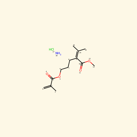 C=C(C)C(=O)OCCCC(C(=O)OC)=C(C)C.Cl.N